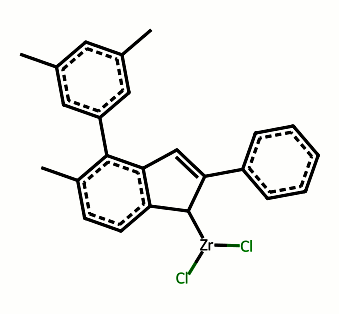 Cc1cc(C)cc(-c2c(C)ccc3c2C=C(c2ccccc2)[CH]3[Zr]([Cl])[Cl])c1